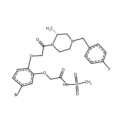 C[C@@H]1CN(Cc2ccc(F)cc2)CCN1C(=O)COc1ccc(Br)cc1OCC(=O)NS(C)(=O)=O